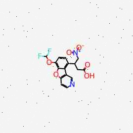 O=C(O)CC(C[N+](=O)[O-])c1ccc(OC(F)F)c2oc3ccncc3c12